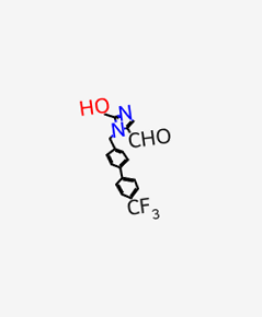 O=Cc1cnc(CO)n1Cc1ccc(-c2ccc(C(F)(F)F)cc2)cc1